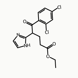 CCOC(=O)CCC(C(=O)c1ccc(Cl)cc1Cl)c1ncc[nH]1